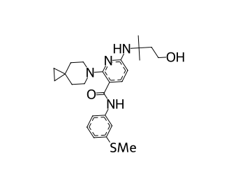 CSc1cccc(NC(=O)c2ccc(NC(C)(C)CCO)nc2N2CCC3(CC2)CC3)c1